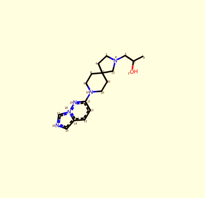 CC(O)CN1CCC2(CCN(c3ccc4cncn4n3)CC2)C1